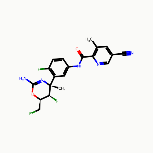 Cc1cc(C#N)cnc1C(=O)Nc1ccc(F)c([C@@]2(C)N=C(N)O[C@H](CF)[C@@H]2F)c1